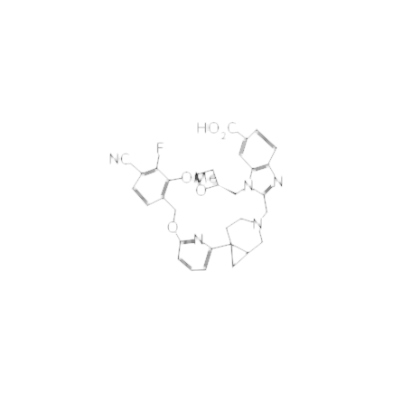 COc1c(COc2cccc(C34CCN(Cc5nc6ccc(C(=O)O)cc6n5C[C@@H]5CCO5)CC3C4)n2)ccc(C#N)c1F